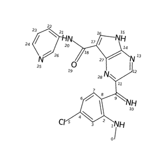 CNc1cc(Cl)ccc1C(=N)c1cnc2[nH]cc(C(=O)Nc3cccnc3)c2n1